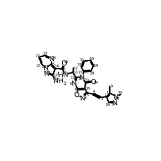 Cc1c(C#Cc2noc3nc(C(C)NC(=O)c4c(N)nn5cccnc45)n(-c4ccccc4)c(=O)c23)cnn1C